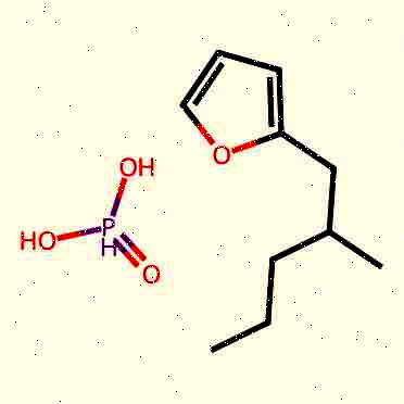 CCCC(C)Cc1ccco1.O=[PH](O)O